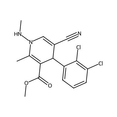 CNN1C=C(C#N)C(c2cccc(Cl)c2Cl)C(C(=O)OC)=C1C